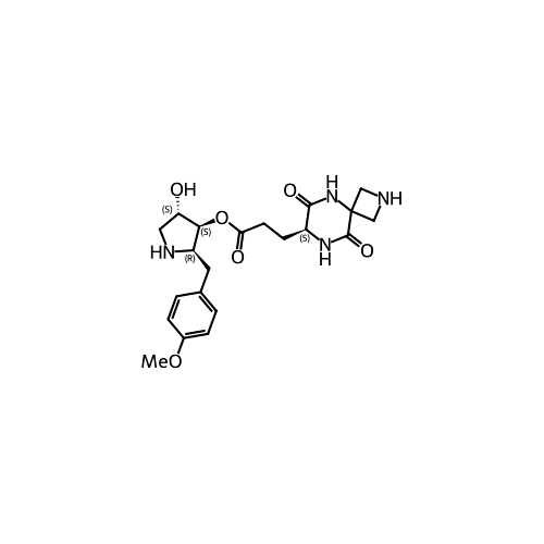 COc1ccc(C[C@H]2NC[C@H](O)[C@H]2OC(=O)CC[C@@H]2NC(=O)C3(CNC3)NC2=O)cc1